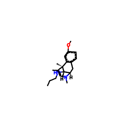 CCCN[C@H]1[C@H]2Cc3ccc(OC)cc3[C@]1(C)C(C)=CN2C